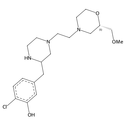 COC[C@@H]1CN(CCN2CCNC(Cc3ccc(Cl)c(O)c3)C2)CCO1